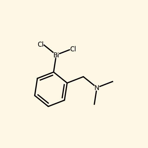 CN(C)Cc1cccc[c]1[Bi]([Cl])[Cl]